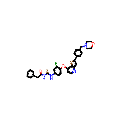 O=C(Cc1ccccc1)NC(=S)Nc1ccc(Oc2ccnc3cc(-c4ccc(CN5CCOCC5)cc4)sc23)c(F)c1